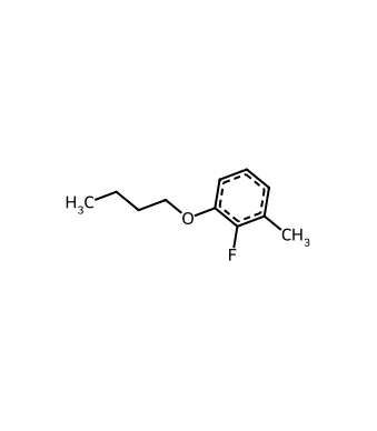 CCCCOc1cccc(C)c1F